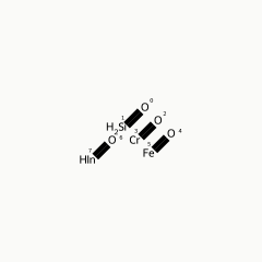 O=[SiH2].[O]=[Cr].[O]=[Fe].[O]=[InH]